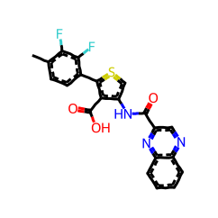 Cc1ccc(-c2scc(NC(=O)c3cnc4ccccc4n3)c2C(=O)O)c(F)c1F